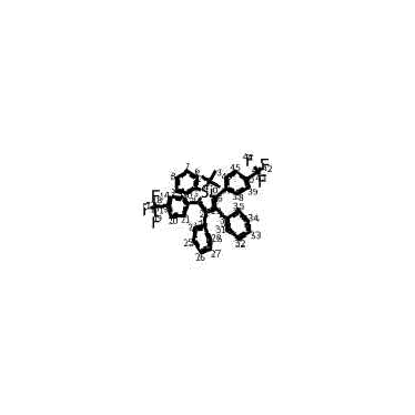 CC(C)(C)[Si]1(c2ccccc2)C(c2ccc(C(F)(F)F)cc2)=C(c2ccccc2)C(c2ccccc2)=C1c1ccc(C(F)(F)F)cc1